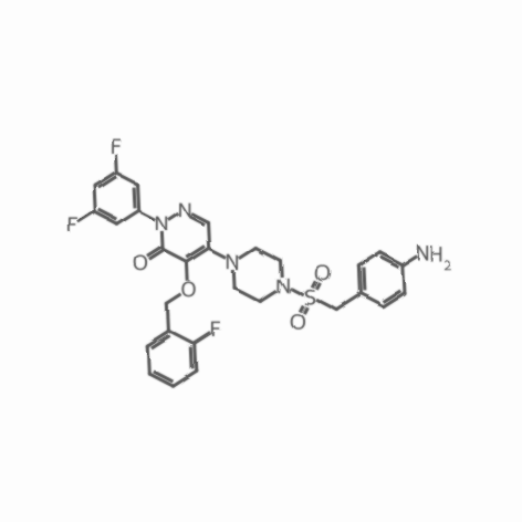 Nc1ccc(CS(=O)(=O)N2CCN(c3cnn(-c4cc(F)cc(F)c4)c(=O)c3OCc3ccccc3F)CC2)cc1